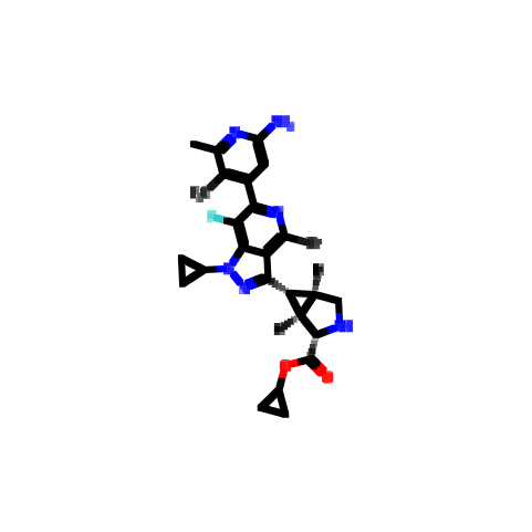 Cc1nc(N)cc(-c2nc(C(C)C)c3c([C@@H]4[C@H]5CN[C@H](C(=O)OC6CC6)[C@H]54)nn(C4CC4)c3c2F)c1C(F)(F)F